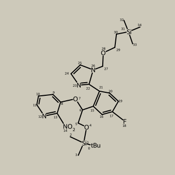 CC(C)(C)[Si](C)(C)OCC(Oc1cccnc1[N+](=O)[O-])c1cc(F)ccc1-c1nccn1COCC[Si](C)(C)C